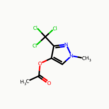 CC(=O)Oc1cn(C)nc1C(Cl)(Cl)Cl